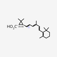 CC(C=CC1=C(C)CCCC1(C)C)=C/C=C/[C@H]1[C@H](C(=O)O)C1(C)C